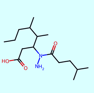 CCCC(C)C(C)C(CC(=O)O)N(N)C(=O)CCC(C)C